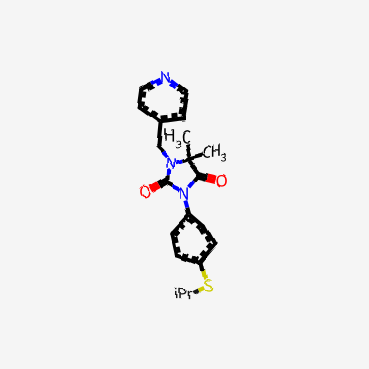 CC(C)Sc1ccc(N2C(=O)N(Cc3ccncc3)C(C)(C)C2=O)cc1